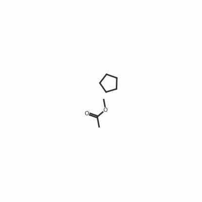 C1CCCC1.COC(C)=O